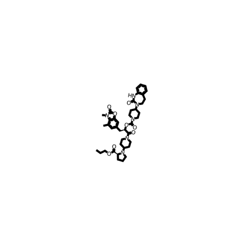 CCCOC(=O)[C@@H]1CCCN1C1CCN(C(=O)[C@@H](Cc2cc(C)c3c(c2)oc(=O)n3C)OC(=O)N2CCC(N3CCc4ccccc4NC3=O)CC2)CC1